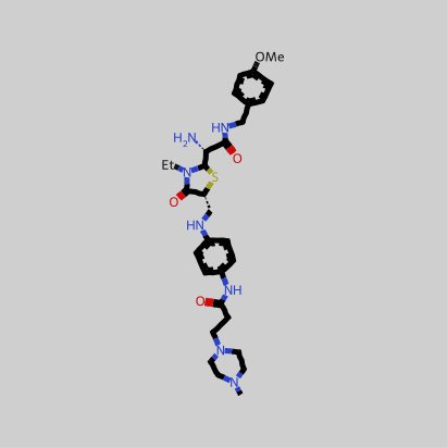 CCN1C(=O)[C@@H](CNc2ccc(NC(=O)CCN3CCN(C)CC3)cc2)SC1[C@H](N)C(=O)NCc1ccc(OC)cc1